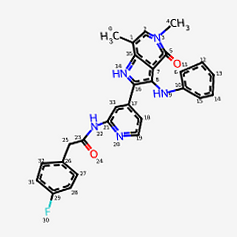 Cc1cn(C)c(=O)c2c(Nc3ccccc3)c(-c3ccnc(NC(=O)Cc4ccc(F)cc4)c3)[nH]c12